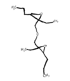 CCCC1OC1(CC)COCC1(CC)OC1CCC